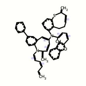 C=C/C=C\C=C/N1C(=C)/C=C\C(N(/C(C)=C/C=C\c2cc3ccccc3o2)c2cccc3c2CC/C=C\C(=C)S3)=C/c2cc(-c3ccccc3)ccc21